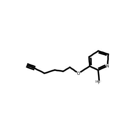 C#CCCCCOc1cccnc1[18F]